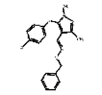 Cc1nn(C)c(Sc2ccc(Cl)cc2)c1C=NOCc1ccccc1